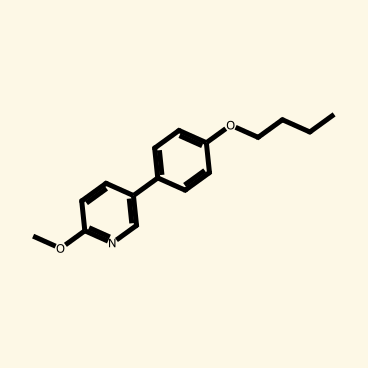 CCCCOc1ccc(-c2ccc(OC)nc2)cc1